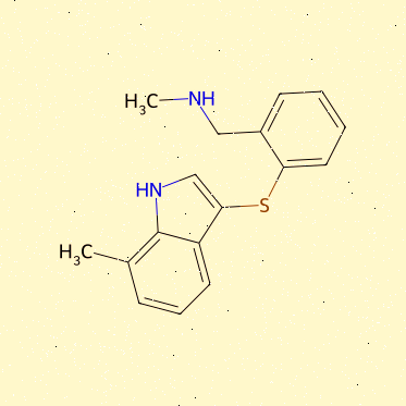 CNCc1ccccc1Sc1c[nH]c2c(C)cccc12